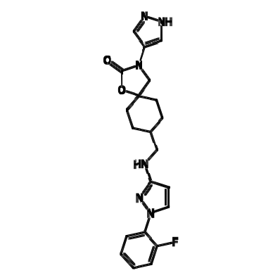 O=C1OC2(CCC(CNc3ccn(-c4ccccc4F)n3)CC2)CN1c1cn[nH]c1